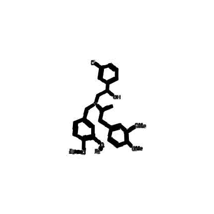 CCOc1ccc(CN(CC(O)c2cccc(Cl)c2)C(C)Cc2ccc(OC)c(OC)c2)cc1OCC